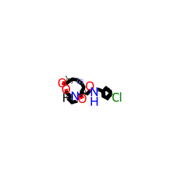 C[C@@H]1C/C=C\C[C@@H](CC(=O)NCc2ccc(Cl)cc2)C(=O)N2CCC[C@H]2COC1=O